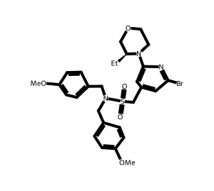 CC[C@H]1COCCN1c1cc(CS(=O)(=O)N(Cc2ccc(OC)cc2)Cc2ccc(OC)cc2)cc(Br)n1